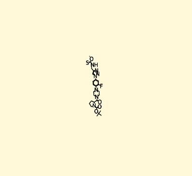 COC(=S)NCc1cn(-c2ccc(N3CCN(C(=O)C4CCCN4C(=O)OC(C)(C)C)CC3)c(F)c2)nn1